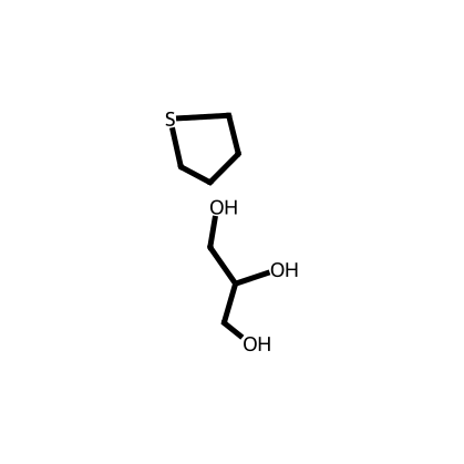 C1CCSC1.OCC(O)CO